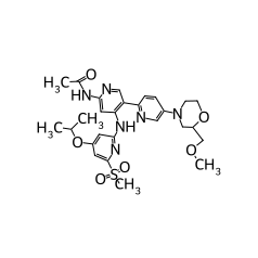 COCC1CN(c2ccc(-c3cnc(NC(C)=O)cc3Nc3cc(OC(C)C)cc(S(C)(=O)=O)n3)nc2)CCO1